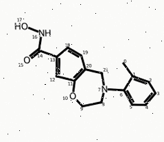 Cc1ccccc1N1CCOc2cc(C(=O)NO)ccc2C1